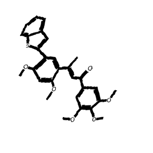 COc1cc(OC)c(-c2cc3ccccc3s2)cc1C(C)=CC(=O)c1cc(OC)c(OC)c(OC)c1